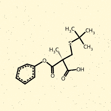 CC(C)(C)SC[C@@](C)(C(=O)O)C(=O)Oc1ccccc1